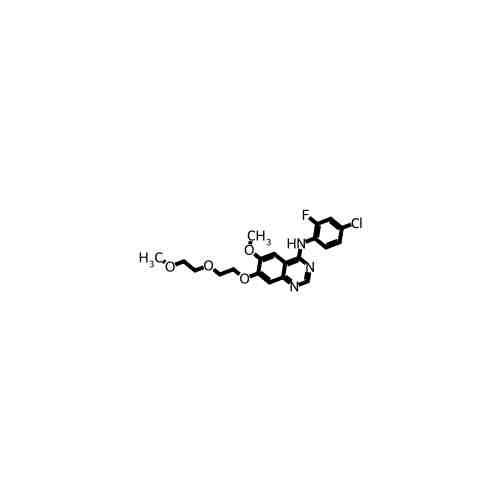 COCCOCCOc1cc2ncnc(Nc3ccc(Cl)cc3F)c2cc1OC